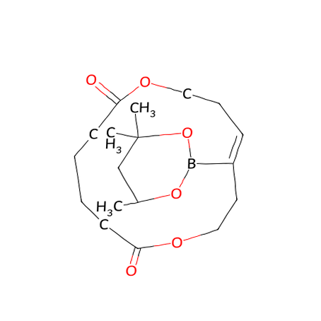 CC1CC(C)(C)OB(/C2=C\CCOC(=O)CCCCC(=O)OCC2)O1